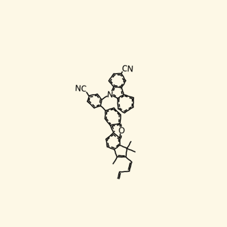 C=C/C=C\C1=C(C)c2ccc3c(oc4ccc(-c5ccc(C#N)cc5-n5c6ccccc6c6cc(C#N)ccc65)cc43)c2C1(C)C